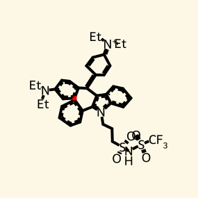 CCN(CC)c1ccc(C(=C2C=CC(=[N+](CC)CC)C=C2)c2c(-c3ccccc3)n(CCCS(=O)(=O)NS(=O)(=O)C(F)(F)F)c3ccccc23)cc1